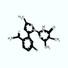 Cc1cc(-c2cc(F)ccc2C(N)=O)n(-c2nc(C)c(C)c(=O)[nH]2)n1